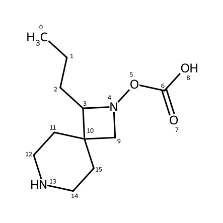 CCCC1N(OC(=O)O)CC12CCNCC2